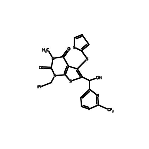 CC(C)Cn1c(=O)n(C)c(=O)c2c(Sc3cccs3)c(C(O)c3cccc(C(F)(F)F)n3)sc21